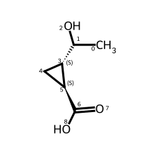 CC(O)[C@H]1C[C@@H]1C(=O)O